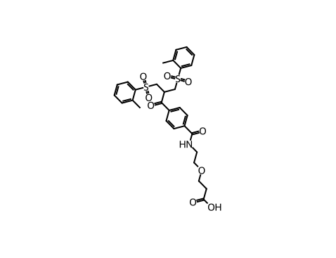 Cc1ccccc1S(=O)(=O)CC(CS(=O)(=O)c1ccccc1C)C(=O)c1ccc(C(=O)NCCOCCC(=O)O)cc1